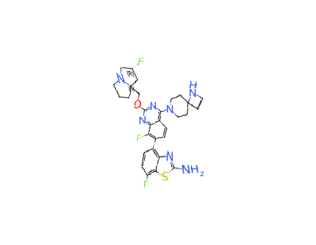 Nc1nc2c(-c3ccc4c(N5CCC6(CCN6)CC5)nc(OC[C@@]56CCCN5C[C@H](F)C6)nc4c3F)ccc(F)c2s1